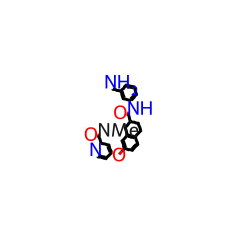 CNC(=O)c1cc(Oc2ccc3c(c2)CC(C(=O)Nc2cccc(CN)c2)CC3)ccn1